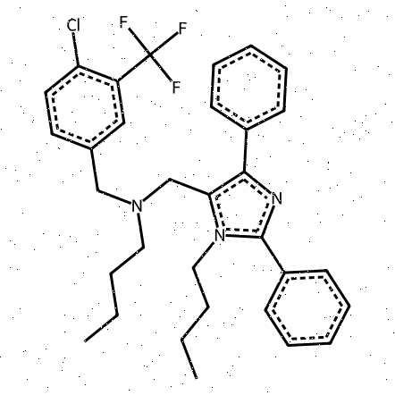 CCCCN(Cc1ccc(Cl)c(C(F)(F)F)c1)Cc1c(-c2ccccc2)nc(-c2ccccc2)n1CCCC